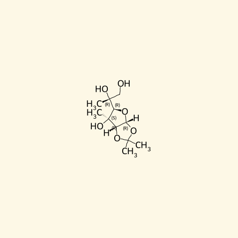 CC1(C)O[C@H]2O[C@H]([C@](C)(O)CO)[C@](C)(O)[C@H]2O1